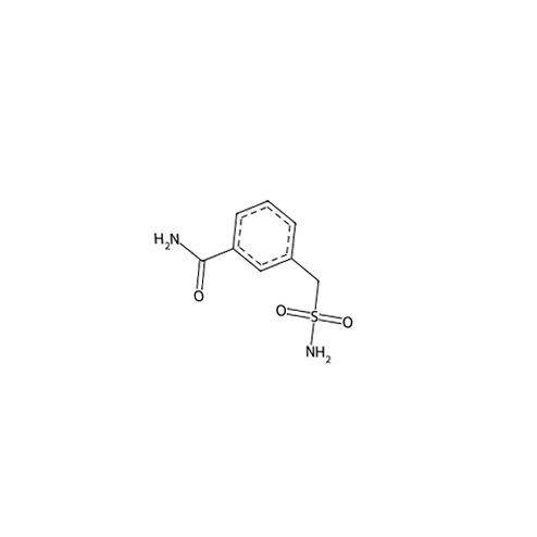 NC(=O)c1cccc(CS(N)(=O)=O)c1